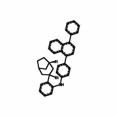 CCC1(c2ccccc2Nc2ccc(-c3ccc(-c4ccccc4)c4ccccc34)cc2)CC2CC[C@@H](C2)C1